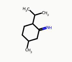 CC1CCC(C(C)C)C(=N)C1